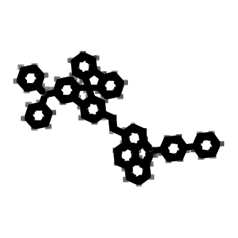 C(=C\c1ccc2c3c1ccc1cccc(c13)n2-c1ccc(-c2ccccc2)cc1)/c1ccc2c(c1)C1(c3ccccc3-c3ccccc31)c1ccc(N(c3ccccc3)c3ccccc3)cc1-2